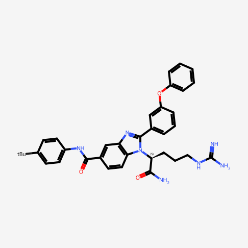 CC(C)(C)c1ccc(NC(=O)c2ccc3c(c2)nc(-c2cccc(Oc4ccccc4)c2)n3[C@@H](CCCNC(=N)N)C(N)=O)cc1